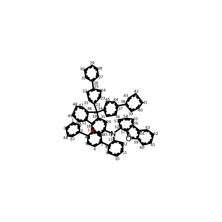 c1ccc(-c2ccc(-c3ccccc3N(c3ccc4c(c3)C(c3ccc(-c5ccccc5)cc3)(c3ccc(-c5ccccc5)cc3)c3ccccc3-4)c3cccc4c3oc3ccccc34)cc2)cc1